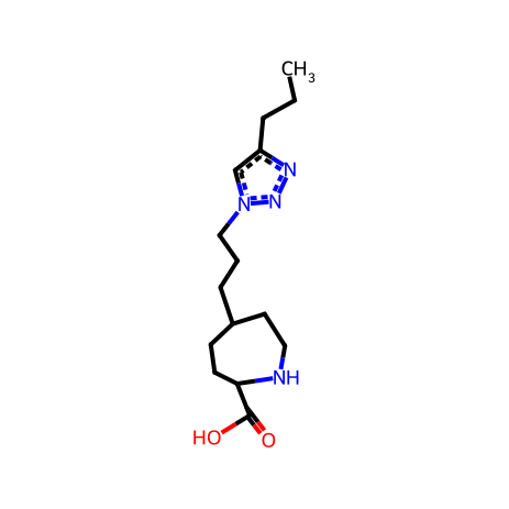 CCCc1cn(CCCC2CCNC(C(=O)O)CC2)nn1